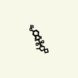 CCOc1ccc2nc(S(=O)(=O)N3CC4(CCC4)CC3C)sc2c1